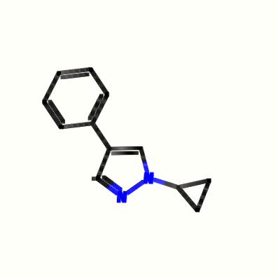 [c]1nn(C2CC2)cc1-c1ccccc1